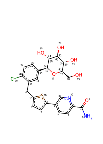 NC(=O)c1ccc(-c2ccc(Cc3cc([C@@H]4O[C@H](CO)[C@@H](O)[C@H](O)[C@H]4O)ccc3Cl)s2)cn1